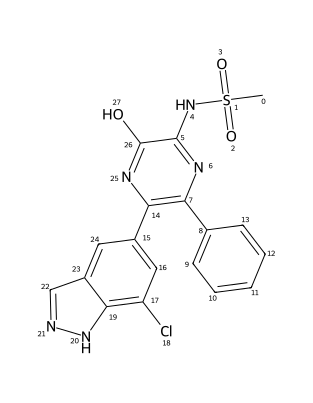 CS(=O)(=O)Nc1nc(-c2ccccc2)c(-c2cc(Cl)c3[nH]ncc3c2)nc1O